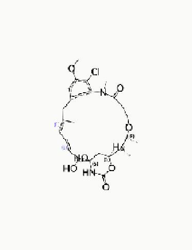 COc1cc2cc(c1Cl)N(C)C(=O)CCO[C@H](C)[C@H](C)[C@@H]1C[C@@](O)(NC(=O)O1)[C@H](O)/C=C/C=C(\C)C2